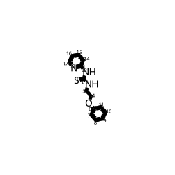 S=C(NCCOc1ccccc1)Nc1ccccn1